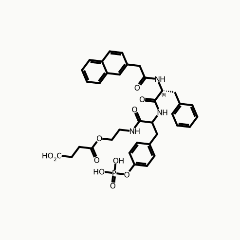 O=C(O)CCC(=O)OCCNC(=O)C(Cc1ccc(OP(=O)(O)O)cc1)NC(=O)[C@@H](Cc1ccccc1)NC(=O)Cc1ccc2ccccc2c1